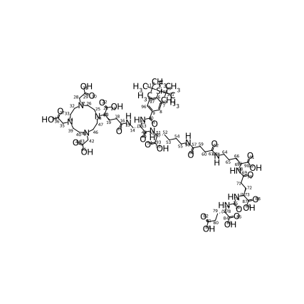 CC(C)(C)[Si](F)(c1ccc(C(=O)N[C@@H](CNC(=O)CC[C@H](C(=O)O)N2CCN(CC(=O)O)CCN(CC(=O)O)CCN(CC(=O)O)CC2)C(=O)N[C@H](CCCCNC(=O)CCC(=O)NCCC[C@H](NC(=O)CC[C@H](NC(=O)N[C@@H](CCC(=O)O)C(=O)O)C(=O)O)C(=O)O)C(=O)O)cc1)C(C)(C)C